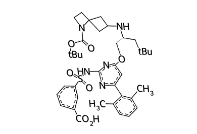 Cc1cccc(C)c1-c1cc(OC[C@@H](CC(C)(C)C)NC2CC3(CCN3C(=O)OC(C)(C)C)C2)nc(NS(=O)(=O)c2cccc(C(=O)O)c2)n1